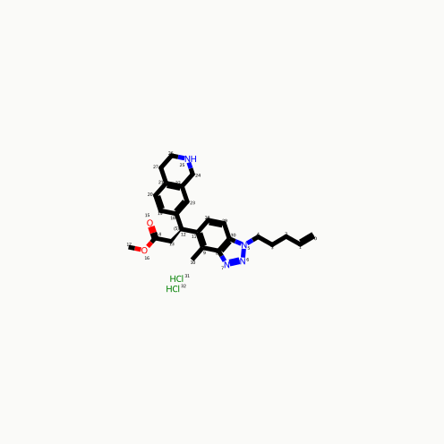 C=CCCCn1nnc2c(C)c([C@@H](CC(=O)OC)c3ccc4c(c3)CNCC4)ccc21.Cl.Cl